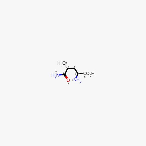 C[C@H](C[C@H](N)C(=O)O)C(N)=O